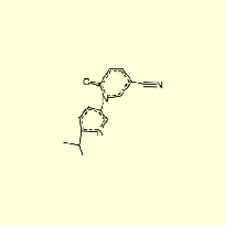 CC(C)c1ccc(-n2cc(C#N)ccc2=O)cn1